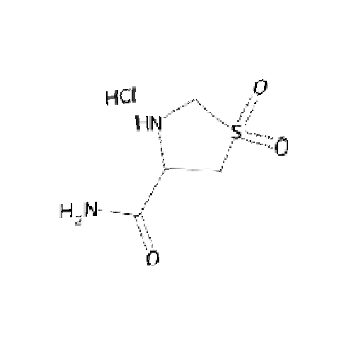 Cl.NC(=O)C1CS(=O)(=O)CN1